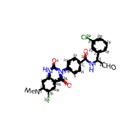 CNc1cc2[nH]c(=O)n(-c3ccc(C(=O)NC(C=O)c4cccc(Cl)c4)cc3)c(=O)c2cc1F